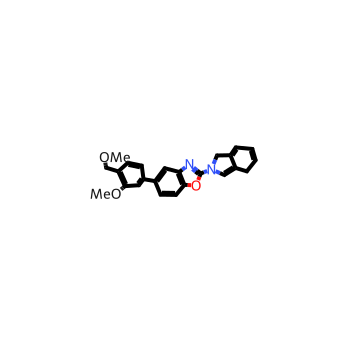 COCc1ccc(-c2ccc3oc(N4C=C5CC=CC=C5C4)nc3c2)cc1OC